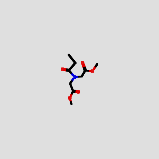 C[CH]C(=O)N(CC(=O)OC)CC(=O)OC